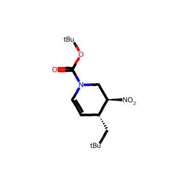 CC(C)(C)C[C@@H]1C=CN(C(=O)OC(C)(C)C)C[C@H]1[N+](=O)[O-]